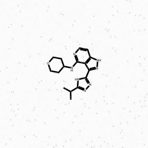 CC(C)c1nnc(-c2n[nH]c3ccnc(NC4CCOCC4)c23)[nH]1